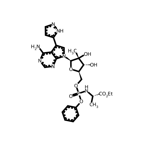 CCOC(=O)[C@H](C)NP(=O)(OC[C@H]1O[C@@H](n2cc(-c3ccn[nH]3)c3c(N)ncnc32)[C@](C)(O)[C@@H]1O)Oc1ccccc1